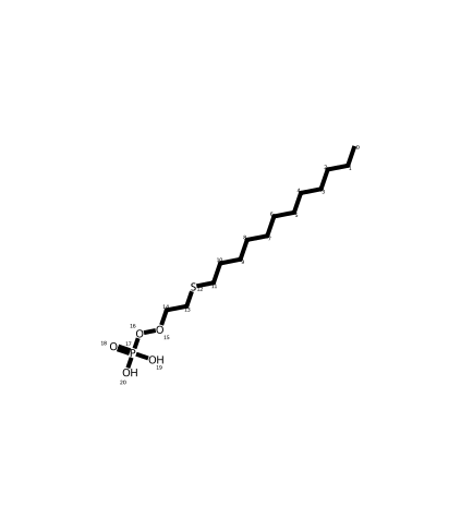 CCCCCCCCCCCCSCCOOP(=O)(O)O